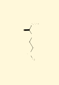 CNC(=O)OCCON